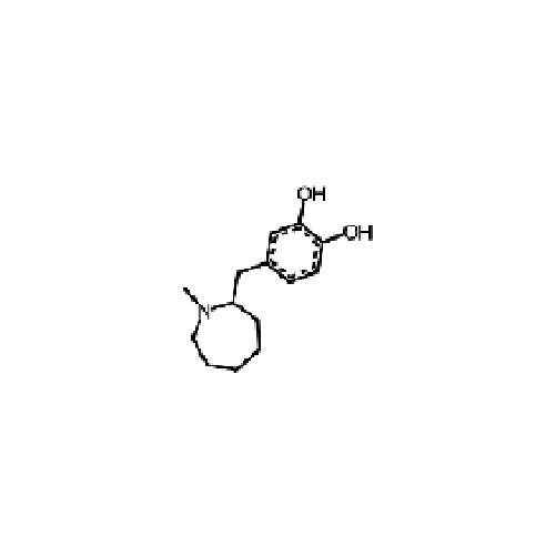 CN1CCCCCC1Cc1ccc(O)c(O)c1